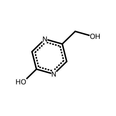 OCc1cnc(O)cn1